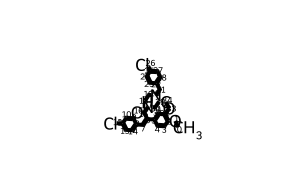 COc1ccc(/C(=C/c2ccc(Cl)cc2)C(=O)N2CCN(Cc3ccc(Cl)cc3)CC2)cc1OC